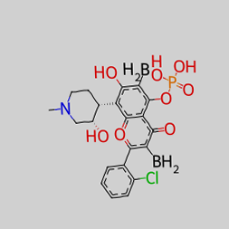 Bc1c(O)c([C@H]2CCN(C)C[C@H]2O)c2oc(-c3ccccc3Cl)c(B)c(=O)c2c1OP(=O)(O)O